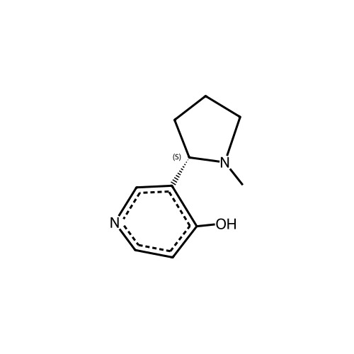 CN1CCC[C@H]1c1cnccc1O